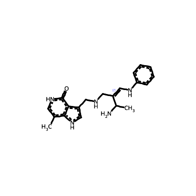 Cc1c[nH]c(=O)c2c(CNC/C(=C/Nc3ccccc3)C(C)N)c[nH]c12